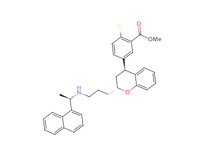 COC(=O)c1cc([C@@H]2C[C@@H](CCCN[C@H](C)c3cccc4ccccc34)Oc3ccccc32)ccc1F